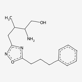 CC(Cc1noc(CCCc2ccccc2)n1)C(N)CO